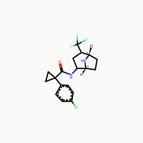 O=C(NC1CC(C(F)(F)F)[C@@H]2CC[C@H]1N2)C1(c2ccc(Cl)cc2)CC1